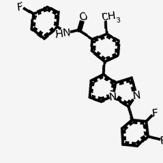 Cc1ccc(-c2cccn3c(-c4cccc(F)c4F)ncc23)cc1C(=O)Nc1ccc(F)cc1